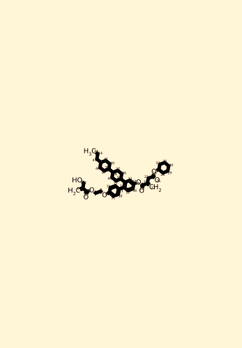 C=C(CO)C(=O)OCCOc1ccc(-c2ccc(OC(=O)C(=C)CC(=O)OC3CCCCC3)cc2C2CCC(C3CCC(CCC)CC3)CC2)cc1